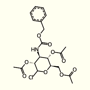 CC(=O)OC[C@H]1OC(Cl)[C@H](OC(C)=O)[C@@H](NC(=O)OCc2ccccc2)[C@@H]1OC(C)=O